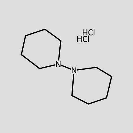 C1CCN(N2CCCCC2)CC1.Cl.Cl